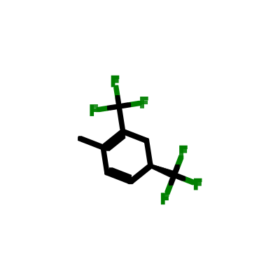 CC1=C(C(F)(F)F)C[C@@H](C(F)(F)F)C=C1